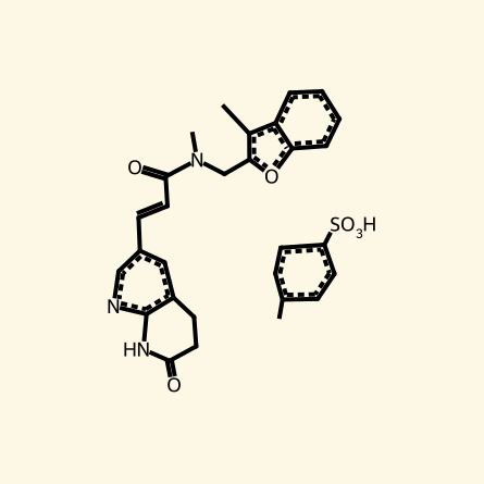 Cc1c(CN(C)C(=O)C=Cc2cnc3c(c2)CCC(=O)N3)oc2ccccc12.Cc1ccc(S(=O)(=O)O)cc1